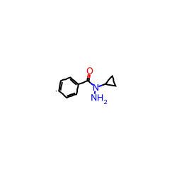 NN(C(=O)c1cc[c]cc1)C1CC1